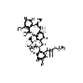 COCCNCc1cc(C)ccc1N(C=O)Cc1ccc2c(c1)N([C@@H](C)CSC)C(=O)c1c(Cl)cccc1C(=O)N2